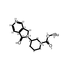 CC(C)(C)OC(=O)N1CCCC(N2Cc3cnccc3C2=O)C1